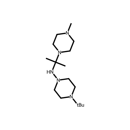 CN1CCN(C(C)(C)NN2CCN(C(C)(C)C)CC2)CC1